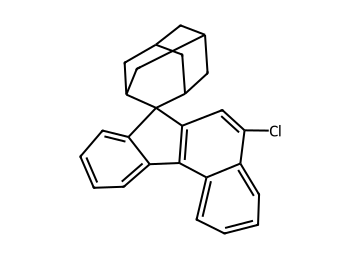 Clc1cc2c(c3ccccc13)-c1ccccc1C21C2CC3CC(C2)CC1C3